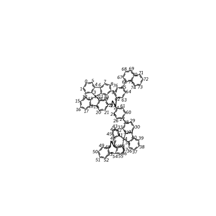 c1ccc2c(c1)-c1ccccc1C21c2ccccc2-c2ccc(N(c3ccc(-c4ccc5c(c4)C4(c6ccccc6-5)c5ccccc5-n5c6ccccc6c6cccc4c65)cc3)c3ccc(-c4cccc5ccccc45)cc3)cc21